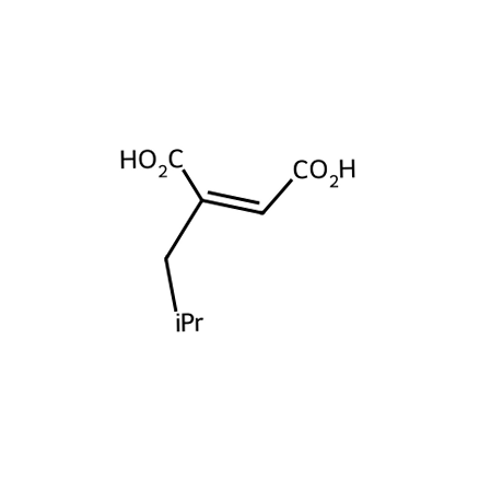 CC(C)CC(=CC(=O)O)C(=O)O